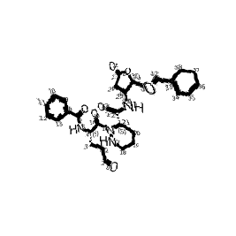 O=CCC[C@H](NC(=O)c1ccccc1)C(=O)N1NCCC[C@H]1C(=O)N[C@H]1CC(=O)OC1OCC1=CC=CCC1